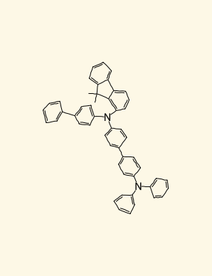 CC1(C)c2ccccc2-c2cccc(N(c3ccc(-c4ccccc4)cc3)c3ccc(-c4ccc(N(c5ccccc5)c5ccccc5)cc4)cc3)c21